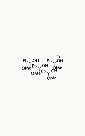 CCC(O)OC.CCC(O)OC.CCC(O)OC.CCC(O)OC.[Ti]